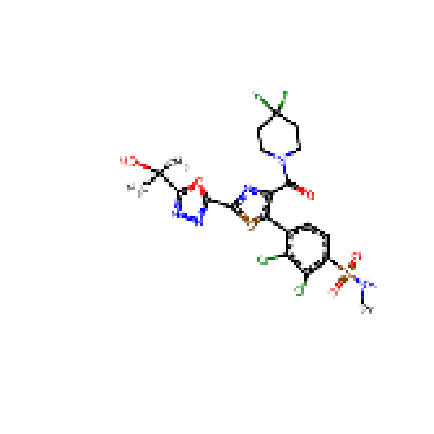 CC(C)NS(=O)(=O)c1ccc(-c2sc(-c3nnc(C(C)(C)O)o3)nc2C(=O)N2CCC(F)(F)CC2)c(Cl)c1Cl